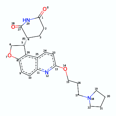 O=C1CC[C@H](C2COc3ccc4nc(OCCCN5CCCC5)ccc4c32)C(=O)N1